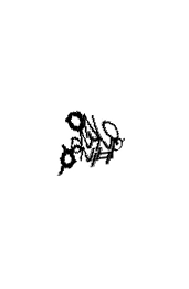 COC(=O)Nc1nc2ccccc2n1C(=N)Oc1ccc(C)cc1C